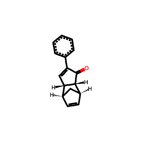 O=C1C(c2ccccc2)=C[C@@H]2[C@H]1[C@H]1C=C[C@@H]2C1